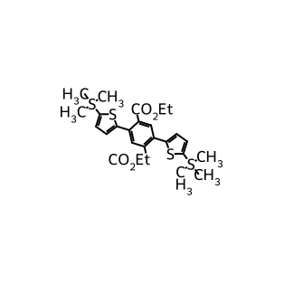 CCOC(=O)c1cc(-c2ccc(S(C)(C)C)s2)c(C(=O)OCC)cc1-c1ccc(S(C)(C)C)s1